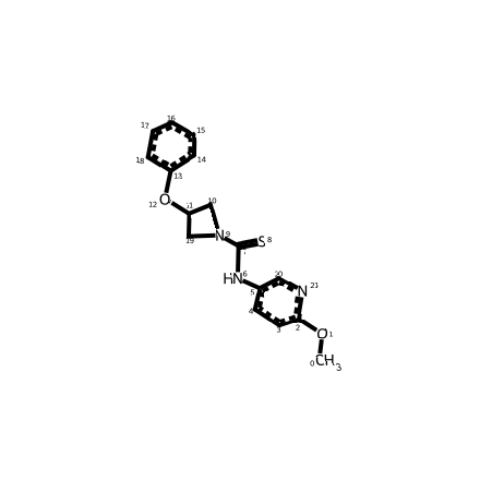 COc1ccc(NC(=S)N2CC(Oc3ccccc3)C2)cn1